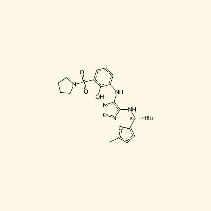 Cc1ccc([C@H](Nc2nonc2Nc2cccc(S(=O)(=O)N3CCCC3)c2O)C(C)(C)C)o1